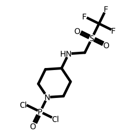 O=P(Cl)(Cl)N1CCC(NCS(=O)(=O)C(F)(F)F)CC1